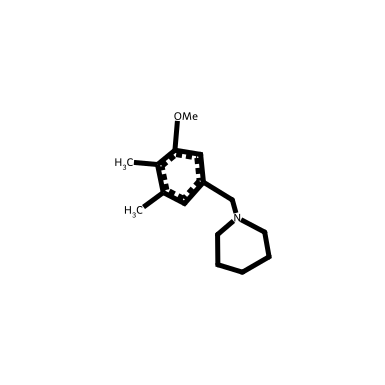 COc1cc(CN2CCCCC2)cc(C)c1C